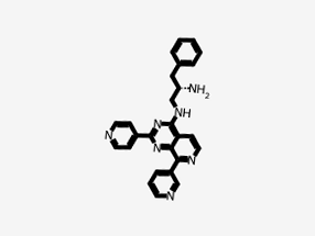 N[C@H](CNc1nc(-c2ccncc2)nc2c(-c3cccnc3)nccc12)Cc1ccccc1